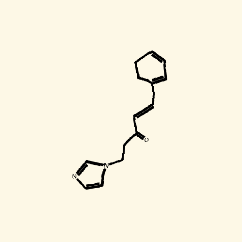 O=C(/C=C/C1=CC=CCC1)CCn1ccnc1